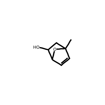 CC12C=CC(O1)C(O)C2